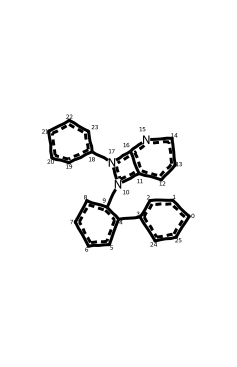 c1ccc(-c2ccccc2-n2c3cccnc3n2-c2ccccc2)cc1